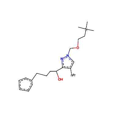 CCCc1cn(COCC[Si](C)(C)C)nc1C(O)CCCc1ccccc1